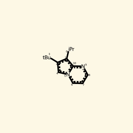 CC(C)c1c(C(C)(C)C)cn2cccnc12